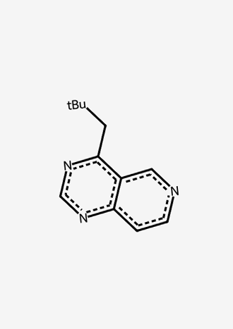 CC(C)(C)Cc1ncnc2ccncc12